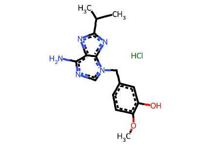 COc1ccc(Cn2cnc(N)c3nc(C(C)C)nc2-3)cc1O.Cl